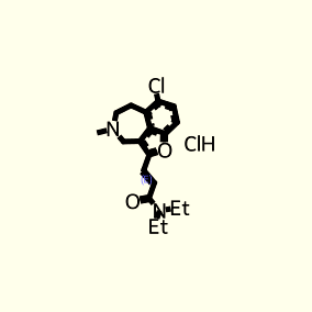 CCN(CC)C(=O)/C=C/c1oc2ccc(Cl)c3c2c1CN(C)CC3.Cl